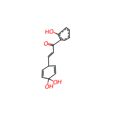 O=C(/C=C/C1C=CC(O)(O)C=C1)c1ccccc1O